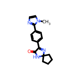 Cn1ccnc1-c1ccc(C2=NC3(CCCC3)NC2=O)cc1